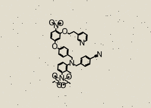 Cc1c(N(Cc2ccc(C#N)cc2)Cc2ccc(Oc3ccc([N+](=O)[O-])c(OCCc4cccnc4)c3)cc2)cccc1N(S(C)(=O)=O)S(C)(=O)=O